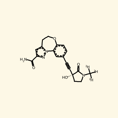 [2H]C([2H])([2H])N1CC[C@@](O)(C#Cc2ccc3c(c2)-n2nc(C(N)=O)cc2CCO3)C1=O